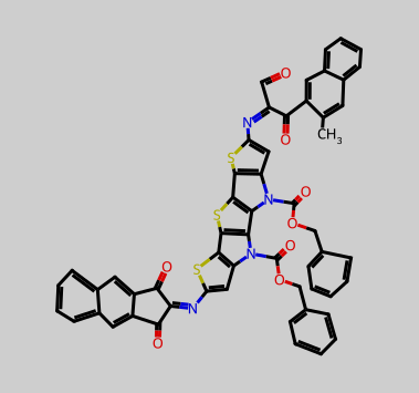 Cc1cc2ccccc2cc1C(=O)/C(C=O)=N\c1cc2c(s1)c1sc3c4sc(N=c5c(=O)c6cc7ccccc7cc6c5=O)cc4n(C(=O)OCc4ccccc4)c3c1n2C(=O)OCc1ccccc1